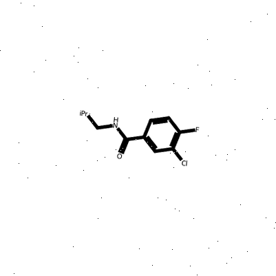 CC(C)CNC(=O)c1ccc(F)c(Cl)c1